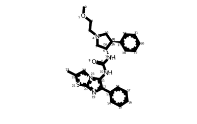 COCCN1C[C@@H](NC(=O)Nc2c(-c3ccccc3)nc3sc(C)cn23)[C@H](c2ccccc2)C1